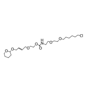 O=C(NCCOCCOCCCCCCCl)OCCOC/C=C/COC1CCCCO1